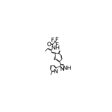 C=C1\C=C/C(c2c[nH]nc2-c2cccc(C)n2)=C/C=C/C1=C/C(=C\C)NC(=O)C(F)(F)F